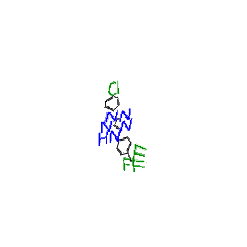 FC(F)(F)c1ccc(Nc2ncnc3c2ncn3-c2ccc(Cl)cc2)cc1